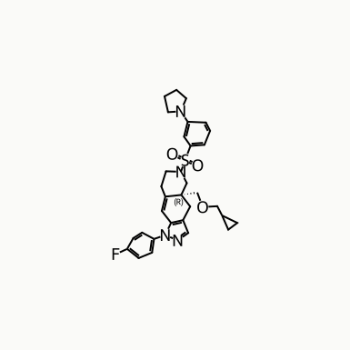 O=S(=O)(c1cccc(N2CCCC2)c1)N1CCC2=Cc3c(cnn3-c3ccc(F)cc3)C[C@]2(COCC2CC2)C1